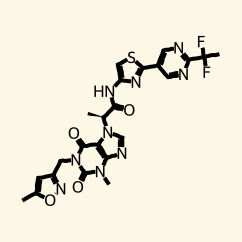 Cc1cc(Cn2c(=O)c3c(ncn3[C@@H](C)C(=O)Nc3csc(-c4cnc(C(C)(F)F)nc4)n3)n(C)c2=O)no1